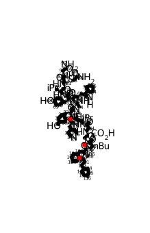 CCCC[C@@H](C(=O)N(C)CC(=O)N[C@@H](CC(=O)O)C(=O)N[C@H](C(=O)N[C@@H](Cc1ccncc1)C(=O)N[C@@H](Cc1ccc(O)cc1)C(=O)N(C)CC(=O)N[C@@H](Cc1c[nH]c2ccccc12)C(=O)N[C@@H](Cc1ccc(O)cc1)C(=O)N[C@@H](CC(C)C)C(=O)N[C@@H](CSCC(N)=O)C(=O)NCC(N)=O)C(C)C)N(C)C(=O)C(Cc1ccccc1)N(C)C(=O)CCc1ccccc1